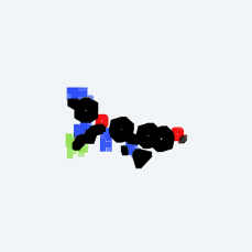 COc1ccc2cc(C(c3cccc(NC(=O)c4cc(C(F)(F)F)nn4-c4cccc(CN)c4)c3)N(C)C3CC3)ccc2c1